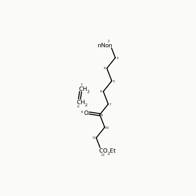 C=C.CCCCCCCCCCCCCCC(=O)CCC(=O)OCC